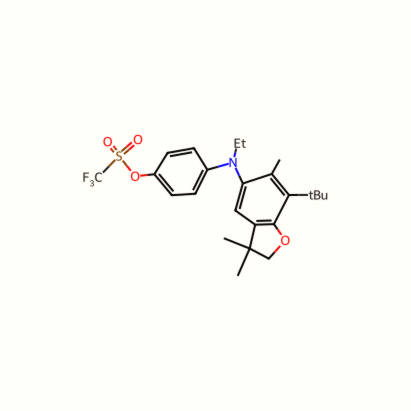 CCN(c1ccc(OS(=O)(=O)C(F)(F)F)cc1)c1cc2c(c(C(C)(C)C)c1C)OCC2(C)C